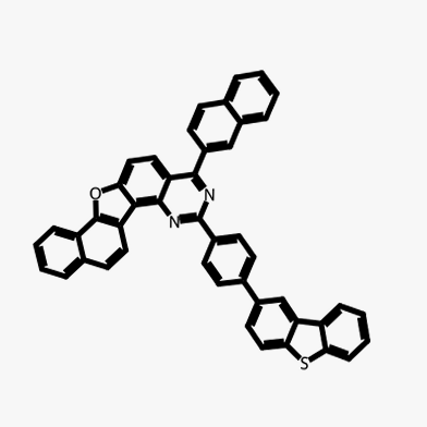 c1ccc2cc(-c3nc(-c4ccc(-c5ccc6sc7ccccc7c6c5)cc4)nc4c3ccc3oc5c6ccccc6ccc5c34)ccc2c1